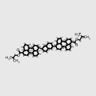 CC(C)COC(=O)c1ccc2c3cccc4c(-c5ccc6cc(-c7ccc8c9cccc%10c(C(=O)OCC(C)C)ccc(c%11cccc7c%118)c%109)ccc6c5)ccc(c5cccc1c25)c43